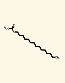 CCCCCCCCCCCCCCCSC(C)=O